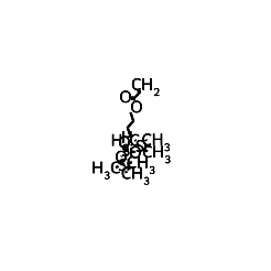 C=CC(=O)OCCCCO[SiH](O[Si](C)(C)C)O[Si](C)(C)C